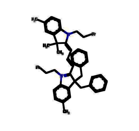 Cc1ccc2c(c1)C(Cc1ccccc1)(Cc1ccccc1)C(/C=C/C=C1/N(CCC(C)C)c3ccc(C(F)(F)F)cc3C1(C)C)=[N+]2CCC(C)C